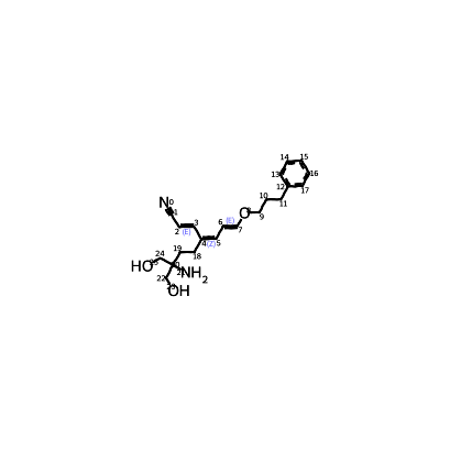 N#C/C=C/C(=C\C=C\OCCCc1ccccc1)CCC(N)(CO)CO